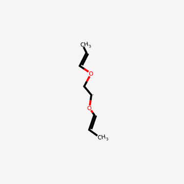 CC=CO[CH]COC=CC